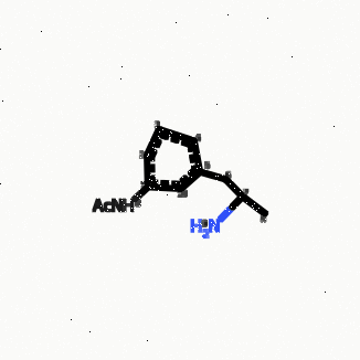 CC(=O)Nc1cccc(CC(C)N)c1